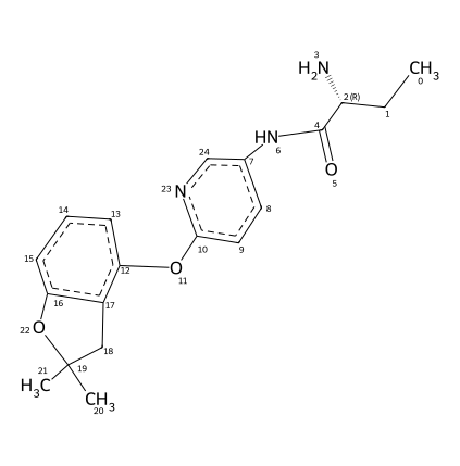 CC[C@@H](N)C(=O)Nc1ccc(Oc2cccc3c2CC(C)(C)O3)nc1